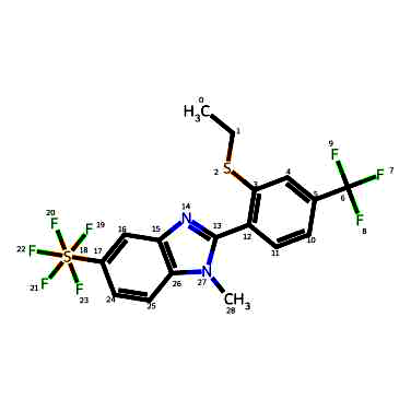 CCSc1cc(C(F)(F)F)ccc1-c1nc2cc(S(F)(F)(F)(F)F)ccc2n1C